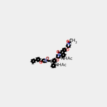 C=CC(=O)N1CCC(Oc2ccc(/C=C/C(=O)N3CCC(Oc4ccc(C/C=C/C(=O)N5CCC(Oc6cccc(-c7ccccc7)c6)CC5)c(-c5ccccc5NC(C)=O)c4)CC3)c(-c3ccc(NC(C)=O)cc3)c2)CC1